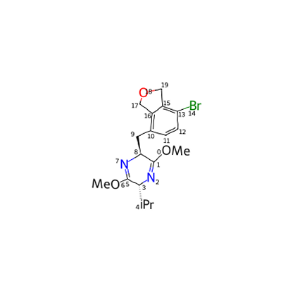 COC1=N[C@H](C(C)C)C(OC)=N[C@H]1Cc1ccc(Br)c2c1COC2